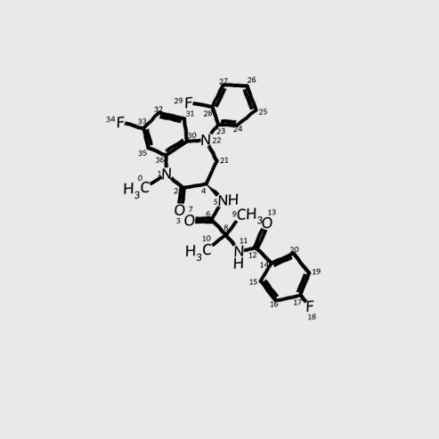 CN1C(=O)[C@H](NC(=O)C(C)(C)NC(=O)c2ccc(F)cc2)CN(c2ccccc2F)c2ccc(F)cc21